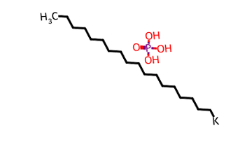 CCCCCCCCCCCCCCCCC[CH2][K].O=P(O)(O)O